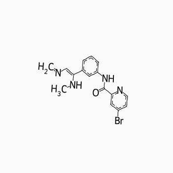 C=N/C=C(\NC)c1cccc(NC(=O)c2cc(Br)ccn2)c1